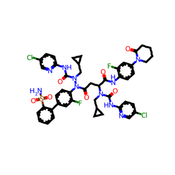 NS(=O)(=O)c1ccccc1-c1ccc(N(C(=O)CC(C(=O)Nc2ccc(N3CCCCC3=O)cc2F)N(CC2CC2)C(=O)Nc2ccc(Cl)cn2)N(CC2CC2)C(=O)Nc2ccc(Cl)cn2)c(F)c1